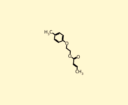 CC=CC(=O)OCCOc1ccc(C)cc1